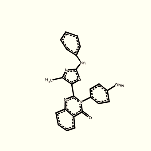 COc1ccc(-n2c(-c3sc(Nc4ccccc4)nc3C)nc3ccccc3c2=O)cc1